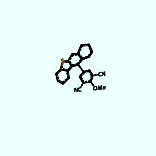 COc1c(C#N)cc(-c2c3ccccc3cc3sc4ccccc4c23)cc1C#N